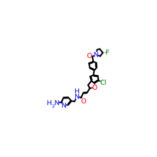 Nc1ccc(CNC(=O)C=CC2Cc3cc(-c4ccc(C(=O)N5CC[C@H](F)C5)cc4)cc(Cl)c3O2)cn1